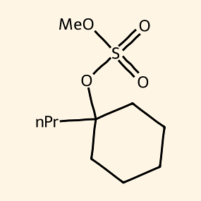 CCCC1(OS(=O)(=O)OC)CCCCC1